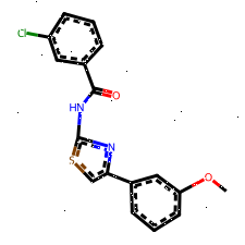 COc1cccc(-c2csc(NC(=O)c3cccc(Cl)c3)n2)c1